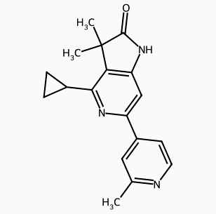 Cc1cc(-c2cc3c(c(C4CC4)n2)C(C)(C)C(=O)N3)ccn1